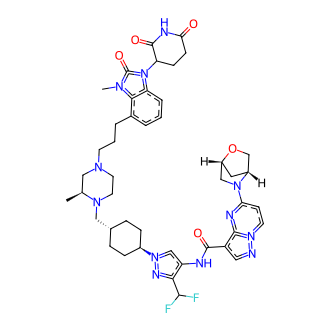 C[C@H]1CN(CCCc2cccc3c2n(C)c(=O)n3C2CCC(=O)NC2=O)CCN1C[C@H]1CC[C@H](n2cc(NC(=O)c3cnn4ccc(N5C[C@H]6C[C@@H]5CO6)nc34)c(C(F)F)n2)CC1